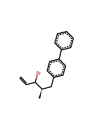 C=CC(Br)[C@H](C)Cc1ccc(-c2ccccc2)cc1